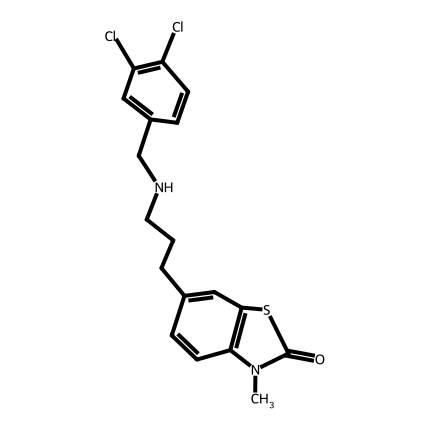 Cn1c(=O)sc2cc(CCCNCc3ccc(Cl)c(Cl)c3)ccc21